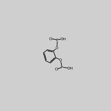 OP(Cl)Oc1ccccc1OP(O)Cl